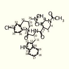 CC(=O)N1CCC(C(=O)N[C@H](Cc2c[nH]c3ccccc23)C(=O)N2C[C@@H](CN(C)C)Cc3cc(Cl)ccc32)CC1